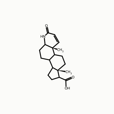 C[C@]12C=CC(=O)NC1CCC1C2CC[C@]2(C)C(C(=O)O)CCC12